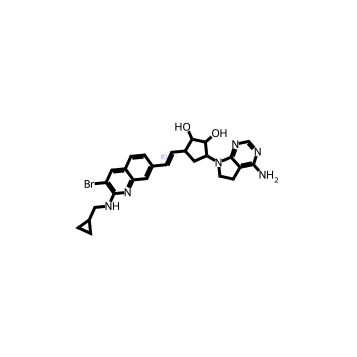 Nc1ncnc2c1CCN2C1CC(/C=C/c2ccc3cc(Br)c(NCC4CC4)nc3c2)C(O)C1O